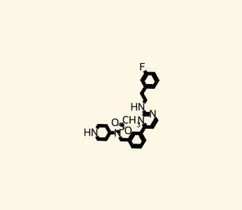 CS(=O)(=O)N(Cc1cccc(-c2ccnc(NCCc3cccc(F)c3)n2)c1)C1CCNCC1